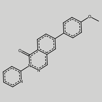 COc1ccc(-c2ccc3c(=O)n(-c4ccccn4)ncc3c2)cc1